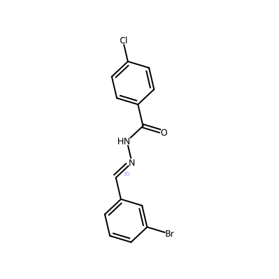 O=C(N/N=C/c1cccc(Br)c1)c1ccc(Cl)cc1